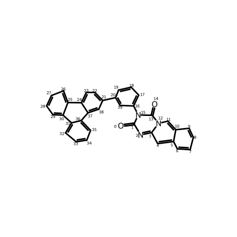 O=c1nc2cc3ccccc3cn2c(=O)n1-c1cccc(-c2ccc3c4ccccc4c4ccccc4c3c2)c1